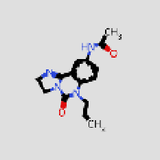 C=CCN1C(=O)N2CCN=C2c2cc(NC(C)=O)ccc21